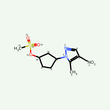 Cc1c([N+](=O)[O-])cnn1C1CCC(OS(C)(=O)=O)C1